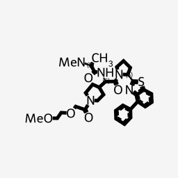 CN[C@@H](C)C(=O)N[C@H](C(=O)N1CCC[C@H]1c1nc2c(-c3ccccc3)cccc2s1)C1CCN(C(=O)COCCOC)CC1